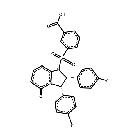 O=C(O)c1cccc(S(=O)(=O)N2c3cccc(=O)n3[C@@H](c3ccc(Cl)cc3)[C@H]2c2ccc(Cl)cc2)c1